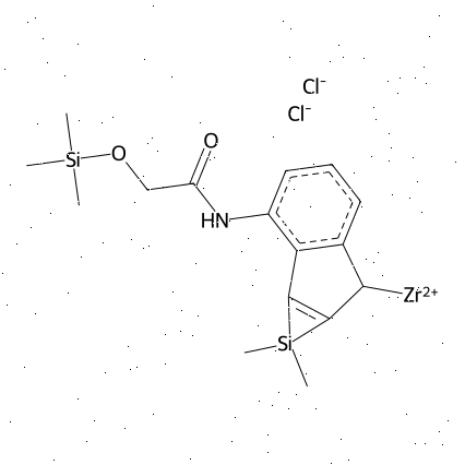 C[Si](C)(C)OCC(=O)Nc1cccc2c1C1=C([CH]2[Zr+2])[Si]1(C)C.[Cl-].[Cl-]